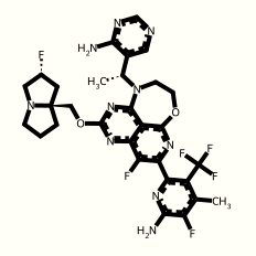 Cc1c(F)c(N)nc(-c2nc3c4c(nc(OC[C@@]56CCCN5C[C@H](F)C6)nc4c2F)N([C@H](C)c2cncnc2N)CCO3)c1C(F)(F)F